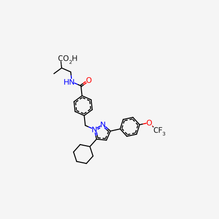 CC(CNC(=O)c1ccc(Cn2nc(-c3ccc(OC(F)(F)F)cc3)cc2C2CCCCC2)cc1)C(=O)O